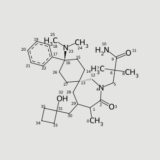 CC1C(=O)N(CC(C)(C)C(N)=O)C[C@]2(CC[C@](c3ccccc3)(N(C)C)CC2)CC1CC1(O)CCC1